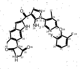 Cc1cc2cc(C(=O)c3cnn(-c4cnc(Oc5c(F)cccc5F)cc4C)c3N)[nH]c2cc1N1C(=O)CNC1=O